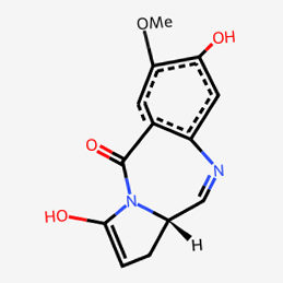 COc1cc2c(cc1O)N=C[C@@H]1CC=C(O)N1C2=O